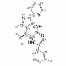 Cc1cccc(C(=O)N[C@@H]2C(=O)Nc3c(c(C)nn3-c3ccccc3)[C@@H]2C(C)C)c1